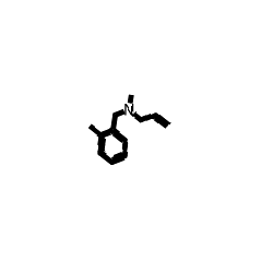 C=CCN(C)Cc1ccccc1C